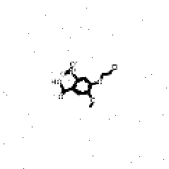 COc1cc(C(=O)O)c([N+](=O)[O-])cc1OCCCl